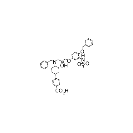 CS(=O)(=O)Nc1cc(OC[C@@H](O)CN(Cc2ccccc2)C2CCC(c3ccc(C(=O)O)cc3)CC2)ccc1OCc1ccccc1